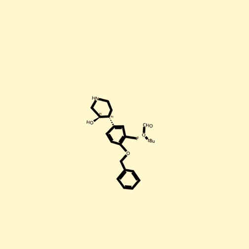 CC(C)(C)OC=O.O[C@H]1CNCC[C@@H]1c1ccc(OCc2ccccc2)c(F)c1